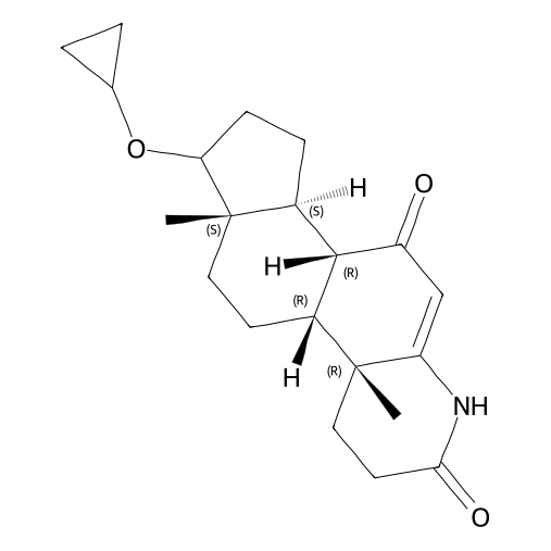 C[C@]12CCC(=O)NC1=CC(=O)[C@@H]1[C@H]2CC[C@]2(C)C(OC3CC3)CC[C@@H]12